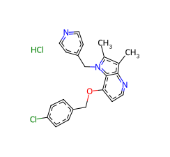 Cc1c(C)n(Cc2ccncc2)c2c(OCc3ccc(Cl)cc3)ccnc12.Cl